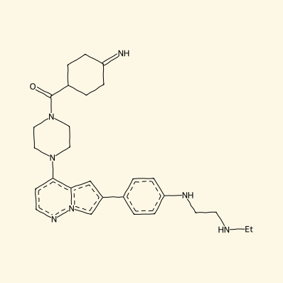 CCNCCNc1ccc(-c2cc3c(N4CCN(C(=O)C5CCC(=N)CC5)CC4)ccnn3c2)cc1